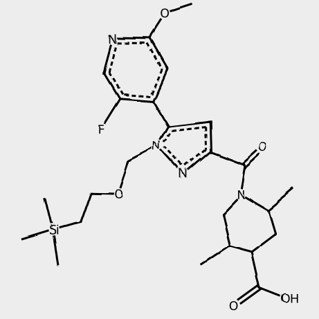 COc1cc(-c2cc(C(=O)N3CC(C)C(C(=O)O)CC3C)nn2COCC[Si](C)(C)C)c(F)cn1